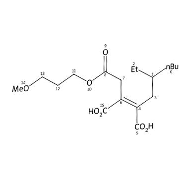 CCCCC(CC)CC(C(=O)O)=C(CC(=O)OCCCOC)C(=O)O